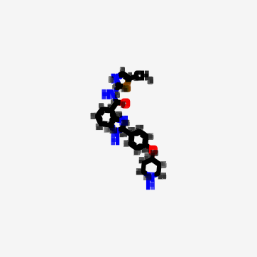 Cc1cnc(NC(=O)c2cccc3[nH]c(-c4ccc(OC5CCNCC5)cc4)nc23)s1